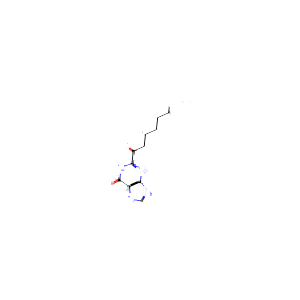 CCCCCCCCCCCCCCCC(=O)c1nc2nc[nH]c2c(=O)[nH]1